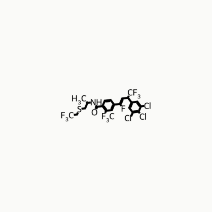 CC(CSCC(F)(F)F)NC(=O)c1ccc(/C(F)=C/C(c2cc(Cl)c(Cl)c(Cl)c2)C(F)(F)F)cc1C(F)(F)F